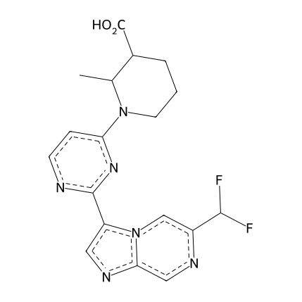 CC1C(C(=O)O)CCCN1c1ccnc(-c2cnc3cnc(C(F)F)cn23)n1